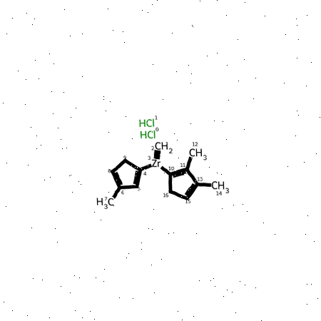 Cl.Cl.[CH2]=[Zr]([C]1=CC(C)=CC1)[C]1=C(C)C(C)=CC1